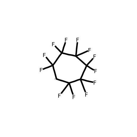 FC1(F)[CH]C(F)(F)C(F)(F)C(F)(F)C(F)(F)C1(F)F